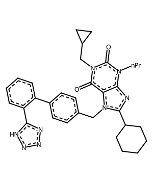 CCCn1c(=O)n(CC2CC2)c(=O)c2c1nc(C1CCCCC1)n2Cc1ccc(-c2ccccc2-c2nnn[nH]2)cc1